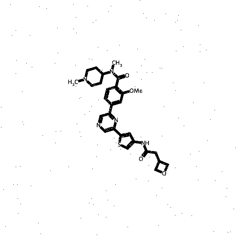 COc1cc(-c2cncc(-c3cc(NC(=O)CC4COC4)cs3)n2)ccc1C(=O)N(C)C1CCN(C)CC1